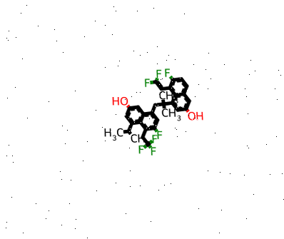 CC(C)c1cc(O)cc2c(CC(C)(C)c3cc(O)cc4ccc(F)c(C=C(F)F)c34)cc(F)c(CC(F)(F)F)c12